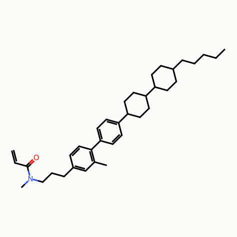 C=CC(=O)N(C)CCCc1ccc(-c2ccc(C3CCC(C4CCC(CCCCC)CC4)CC3)cc2)c(C)c1